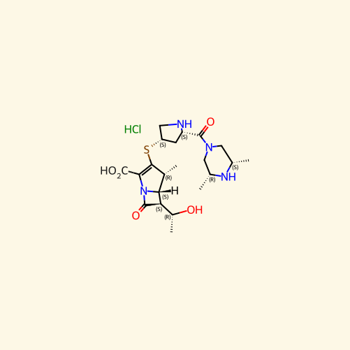 C[C@@H]1CN(C(=O)[C@@H]2C[C@H](SC3=C(C(=O)O)N4C(=O)[C@H]([C@@H](C)O)[C@H]4[C@H]3C)CN2)C[C@H](C)N1.Cl